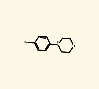 CC(C)c1ccc([SH]2CCOCC2)cc1